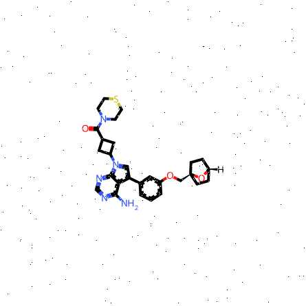 Nc1ncnc2c1c(-c1cccc(OC[C@]34CC[C@H](CC3)O4)c1)cn2C1CC(C(=O)N2CCSCC2)C1